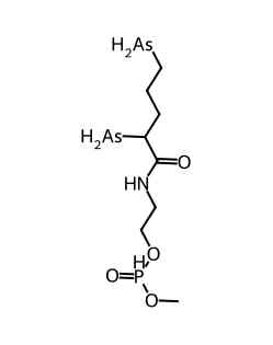 CO[PH](=O)OCCNC(=O)C([AsH2])CCC[AsH2]